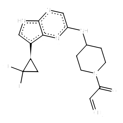 C=CC(=O)N1CCC(Nc2cnc3[nH]cc([C@H]4CC4(F)F)c3n2)CC1